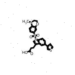 CN1CCOc2cc(S(=O)(=O)n3cc(CCC(=O)O)c4cc(-c5ccsc5)ccc43)ccc21